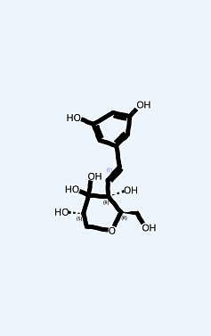 OC[C@H]1OC[C@H](O)C(O)(O)[C@@]1(O)/C=C/c1cc(O)cc(O)c1